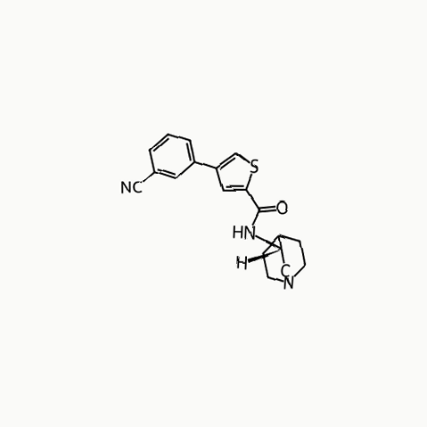 N#Cc1cccc(-c2csc(C(=O)N[C@H]3CN4CCC3CC4)c2)c1